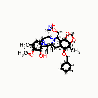 COc1c(C)cc2c(c1O)[C@H]1[C@@H]3Cc4c(OCc5ccccc5)c(C)c5c(c4[C@H](CO)N3[C@@H](C#N)C2N1C)OCO5